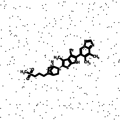 Cc1c(-c2[nH]c3sc([C@@H]4CC5C[C@H]4CN5CCCS(C)(=O)=O)c(C)c3c2C(C)C)cn2ncnc2c1C